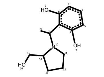 CC(c1c(O)cccc1O)N1CCCC1CO